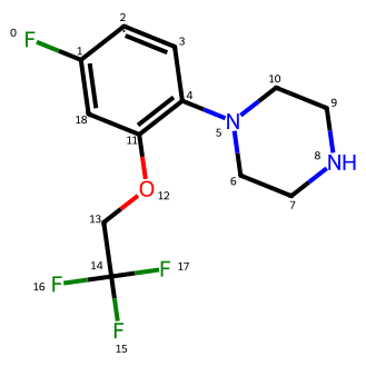 Fc1[c]cc(N2CCNCC2)c(OCC(F)(F)F)c1